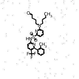 CCCCN(CCCC=O)c1cccc(S(=O)(=O)Nc2ccc(C(F)(F)F)c(-c3ccccc3C)n2)n1